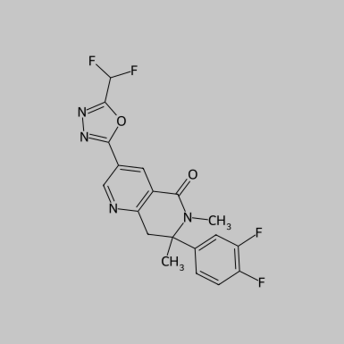 CN1C(=O)c2cc(-c3nnc(C(F)F)o3)cnc2CC1(C)c1ccc(F)c(F)c1